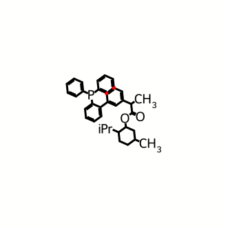 CC1CCC(C(C)C)C(OC(=O)C(C)c2cccc(-c3ccccc3P(c3ccccc3)c3ccccc3)c2)C1